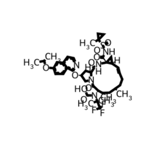 CC(C)Oc1ccc2c(O[C@@H]3C[C@H]4C(=O)N[C@]5(C(=O)NS(=O)(=O)C6(C)CC6)C[C@H]5/C=C\CC[C@@H](C)C[C@@H](C)[C@H](N(C(=O)O)C(C)(C)C(F)(F)F)C(=O)N4C3)nccc2c1